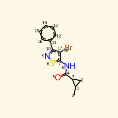 CC1CC1C(=O)Nc1snc(-c2ccccc2)c1Br